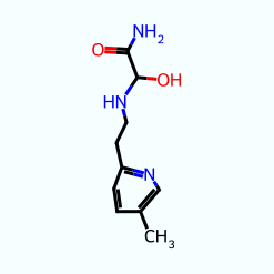 Cc1ccc(CCNC(O)C(N)=O)nc1